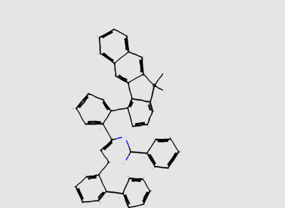 CC1(C)c2cc3ccccc3cc2-c2c(-c3ccccc3/C(=C/Cc3ccccc3-c3ccccc3)NC(N)c3ccccc3)cccc21